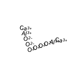 [Al+3].[Al+3].[Ga+3].[Ga+3].[O-2].[O-2].[O-2].[O-2].[O-2].[O-2]